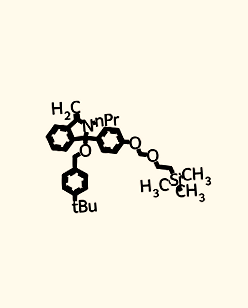 C=C1c2ccccc2C(OCc2ccc(C(C)(C)C)cc2)(c2ccc(OCOCC[Si](C)(C)C)cc2)N1CCC